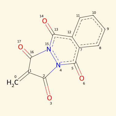 C=C1C(=O)n2c(=O)c3ccccc3c(=O)n2C1=O